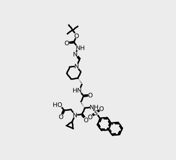 CC(C)(C)OC(=O)NN=CN1CCC[C@@H](CNC(=O)C[C@H](NS(=O)(=O)c2ccc3ccccc3c2)C(=O)N(CC(=O)O)C2CC2)C1